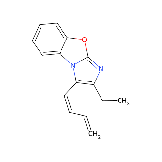 C=C/C=C\c1c(CC)nc2oc3ccccc3n12